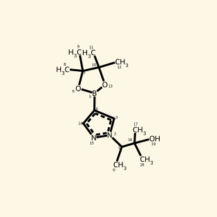 CC(n1cc(B2OC(C)(C)C(C)(C)O2)cn1)C(C)(C)O